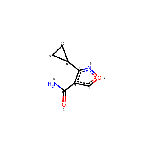 NC(=O)c1conc1C1CC1